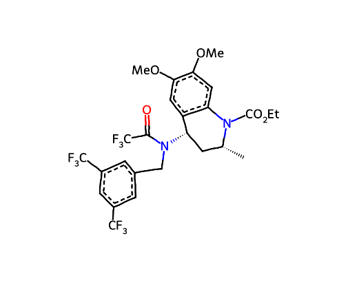 CCOC(=O)N1c2cc(OC)c(OC)cc2[C@@H](N(Cc2cc(C(F)(F)F)cc(C(F)(F)F)c2)C(=O)C(F)(F)F)C[C@H]1C